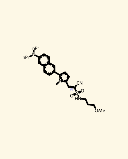 CCCN(CCC)c1ccc2cc(-c3ccc(/C=C(\C#N)S(=O)(=O)NCCCOC)n3C)ccc2c1